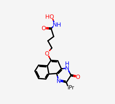 CC(C)c1nc2c(cc(OCCCC(=O)NO)c3ccccc32)[nH]c1=O